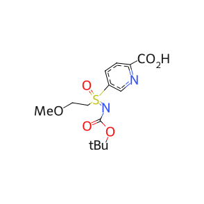 COCCS(=O)(=NC(=O)OC(C)(C)C)c1ccc(C(=O)O)nc1